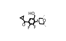 C[C@@H]1CN(c2c(CO)cc(C(=O)C3CC3)c(F)c2F)C[C@H](C)O1